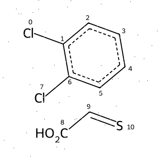 Clc1ccccc1Cl.O=C(O)C=S